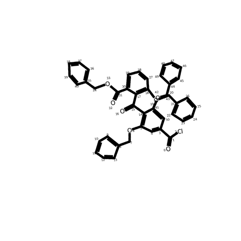 O=C(Cl)c1cc(OCc2ccccc2)c(C(=O)c2c(OCc3ccccc3)cccc2C(=O)OCc2ccccc2)c(OCc2ccccc2)c1